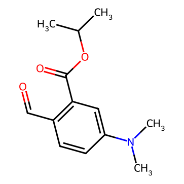 CC(C)OC(=O)c1cc(N(C)C)ccc1C=O